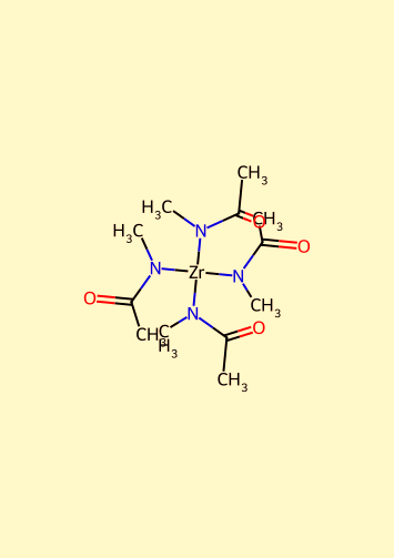 CC(=O)[N](C)[Zr]([N](C)C(C)=O)([N](C)C(C)=O)[N](C)C(C)=O